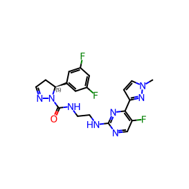 Cn1ccc(-c2nc(NCCNC(=O)N3N=CC[C@H]3c3cc(F)cc(F)c3)ncc2F)n1